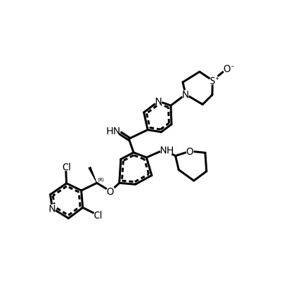 C[C@@H](Oc1ccc(NC2CCCCO2)c(C(=N)c2ccc(N3CC[S+]([O-])CC3)nc2)c1)c1c(Cl)cncc1Cl